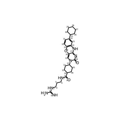 N=C(N)NCCCNC(=O)C1CCC(n2cc3c(nc2=O)Nc2cc(C4CCCCC4)ccc2O3)CC1